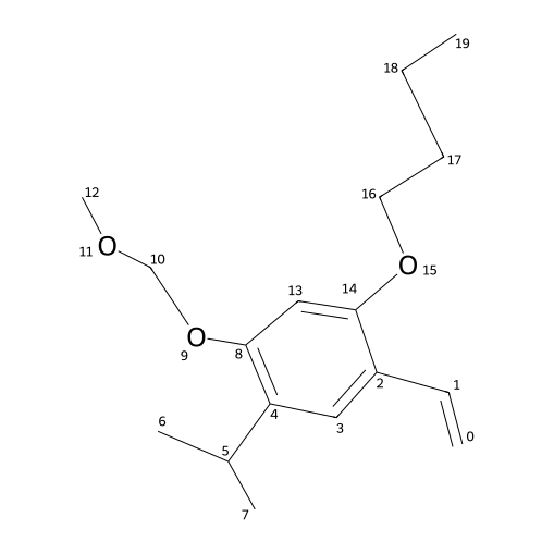 C=Cc1cc(C(C)C)c(OCOC)cc1OCCCC